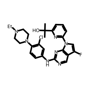 CCN1CCN(c2ccc(Nc3ncc4c(F)cn(-c5cccc(C(C)(C)O)n5)c4n3)cc2Cl)CC1